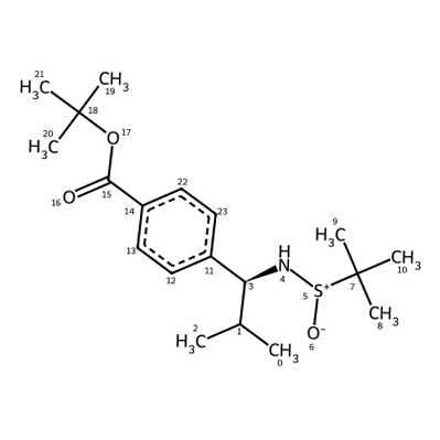 CC(C)[C@H](N[S+]([O-])C(C)(C)C)c1ccc(C(=O)OC(C)(C)C)cc1